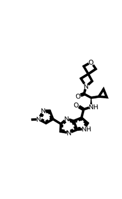 Cn1cc(-c2cnc3[nH]cc(C(=O)N[C@@H](C(=O)N4CC5(COC5)C4)C4CC4)c3n2)cn1